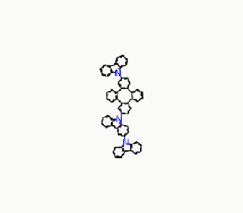 c1ccc2c(c1)-c1ccc(-n3c4ccccc4c4ccccc43)cc1-c1ccccc1-c1cc(-n3c4ccccc4c4cc(-n5c6ccccc6c6ccccc65)ccc43)ccc1-2